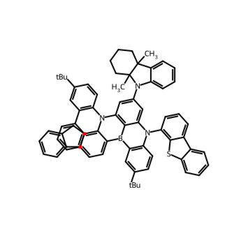 CC(C)(C)c1ccc2c(c1)B1c3ccc4c(c3N(c3ccc(C(C)(C)C)cc3-c3ccccc3)c3cc(N5c6ccccc6C6(C)CCCCC56C)cc(c31)N2c1cccc2c1sc1ccccc12)Cc1ccccc1-4